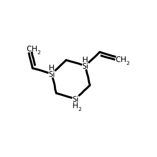 C=C[SiH]1C[SiH2]C[SiH](C=C)C1